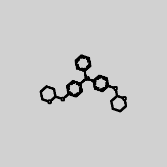 c1ccc([S+](c2ccc(OC3CCCCO3)cc2)c2ccc(OC3CCCCO3)cc2)cc1